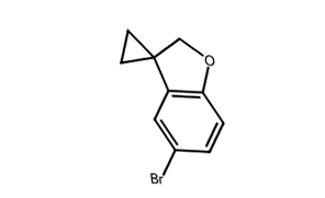 Brc1ccc2c(c1)C1(CC1)CO2